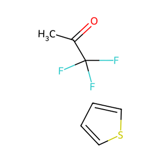 CC(=O)C(F)(F)F.c1ccsc1